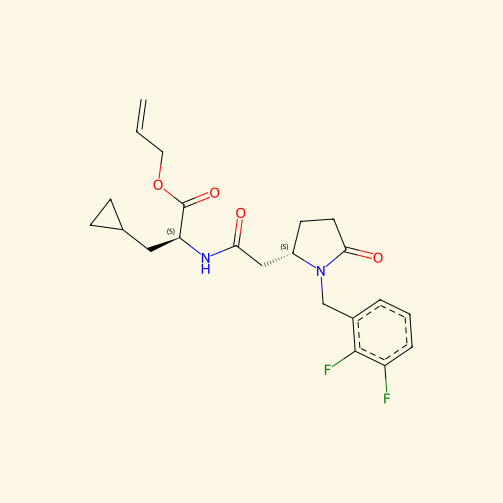 C=CCOC(=O)[C@H](CC1CC1)NC(=O)C[C@@H]1CCC(=O)N1Cc1cccc(F)c1F